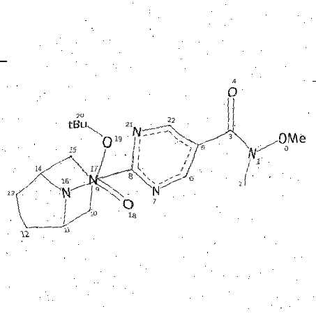 CON(C)C(=O)c1cnc(N2CC3CCC(C2)N3C(=O)OC(C)(C)C)nc1